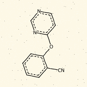 N#Cc1ccccc1Oc1c[c]ncn1